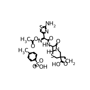 C=CC1(C(=O)O)CS[C@@H]2C(NC(=O)C(=NOC(C)=O)c3csc(N)n3)C(=O)N2C1.Cc1ccc(S(=O)(=O)O)cc1